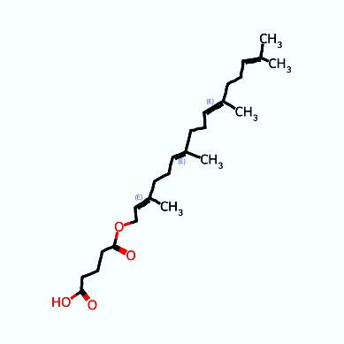 CC(C)=CCC/C(C)=C/CC/C(C)=C/CC/C(C)=C/COC(=O)CCCC(=O)O